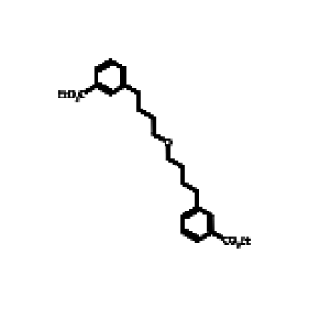 CCOC(=O)c1cccc(CCCCOCCCCc2cccc(C(=O)OCC)c2)c1